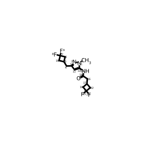 Cn1nc(CC2CC(F)(F)C2)cc1NC(=O)CC1CC(F)(F)C1